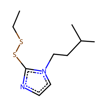 CCSSc1nccn1CCC(C)C